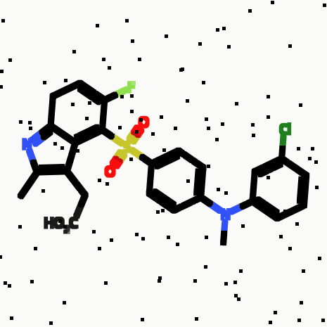 CC1=C(CC(=O)O)C2=C(S(=O)(=O)c3ccc(N(C)c4cccc(Cl)c4)cc3)C(F)=CCC2=N1